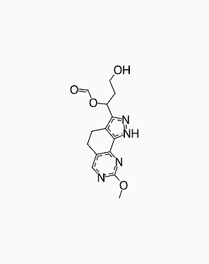 COc1ncc2c(n1)-c1[nH]nc(C(CCO)OC=O)c1CC2